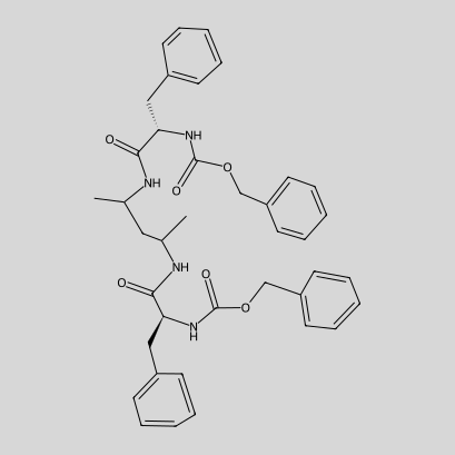 CC(CC(C)NC(=O)[C@H](Cc1ccccc1)NC(=O)OCc1ccccc1)NC(=O)[C@H](Cc1ccccc1)NC(=O)OCc1ccccc1